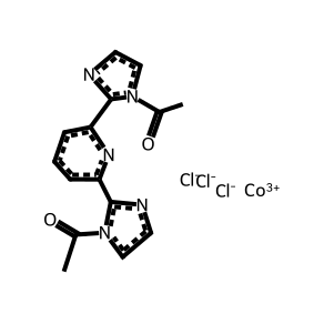 CC(=O)n1ccnc1-c1cccc(-c2nccn2C(C)=O)n1.[Cl-].[Cl-].[Cl-].[Co+3]